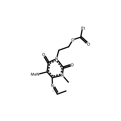 C/C=N\c1c(NC)c(=O)n(CCOC(=O)CC)c(=O)n1C